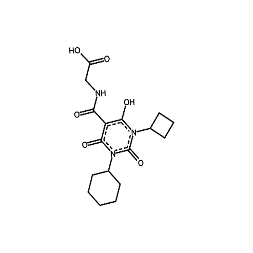 O=C(O)CNC(=O)c1c(O)n(C2CCC2)c(=O)n(C2CCCCC2)c1=O